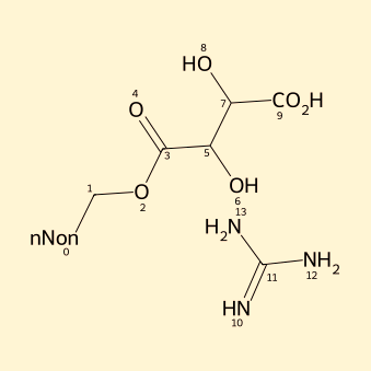 CCCCCCCCCCOC(=O)C(O)C(O)C(=O)O.N=C(N)N